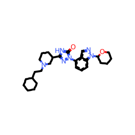 O=c1[nH]c(C2CCCN(CCC3CCCCC3)C2)nn1-c1cccc2c1cnn2C1CCCCO1